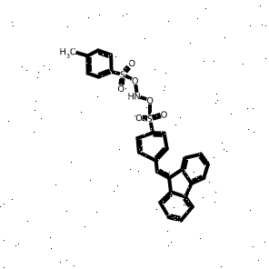 Cc1ccc(S(=O)(=O)ONOS(=O)(=O)c2ccc(C=C3c4ccccc4-c4ccccc43)cc2)cc1